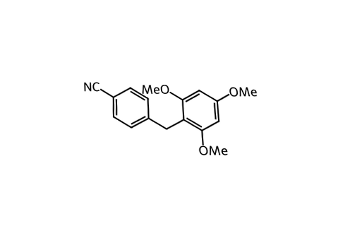 COc1cc(OC)c(Cc2ccc(C#N)cc2)c(OC)c1